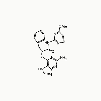 COc1ccnc(NC(=O)[C@H](Cc2ccccc2)Sc2nc(N)nc3nc[nH]c23)n1